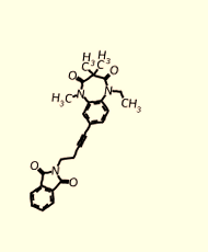 CCN1C(=O)C(C)(C)C(=O)N(C)c2cc(C#CCCN3C(=O)c4ccccc4C3=O)ccc21